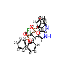 Cc1cnc2[nH]cc(C(c3ccccc3)C(F)(S(=O)(=O)c3ccccc3)S(=O)(=O)c3ccccc3)c2c1